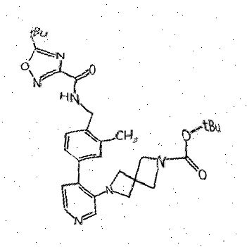 Cc1cc(-c2ccncc2N2CC3(CN(C(=O)OC(C)(C)C)C3)C2)ccc1CNC(=O)c1noc(C(C)(C)C)n1